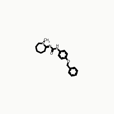 CN1CCCCCC1=NC(=O)Nc1ccc(OCc2ccccc2)cc1